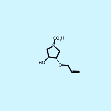 C=CCO[C@H]1CN(C(=O)O)C[C@@H]1O